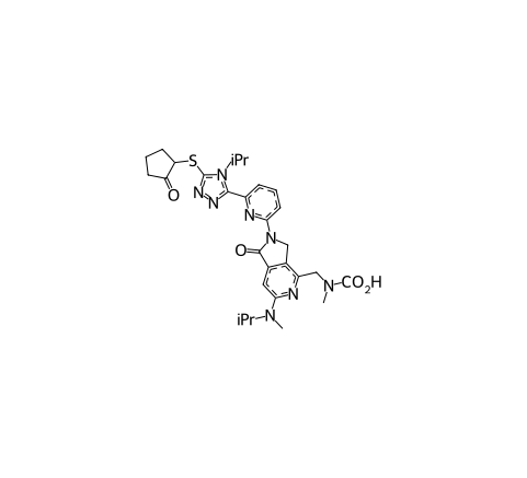 CC(C)N(C)c1cc2c(c(CN(C)C(=O)O)n1)CN(c1cccc(-c3nnc(SC4CCCC4=O)n3C(C)C)n1)C2=O